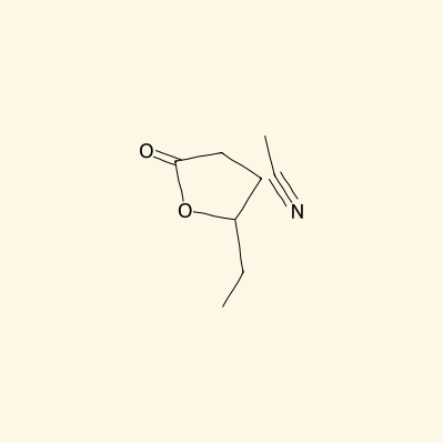 CC#N.CCC1CCC(=O)O1